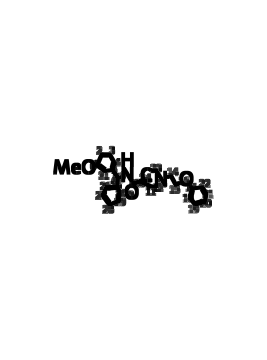 COc1cccc([C@@H](NC(=O)C2CCN(CCOc3ccccc3)CC2)c2ccccc2)c1